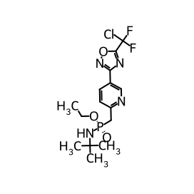 CCOP(=O)(Cc1ccc(-c2noc(C(F)(F)Cl)n2)cn1)NC(C)(C)C